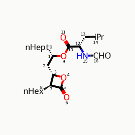 CCCCCCC[C@@H](C[C@@H]1OC(=O)[C@H]1CCCCCC)OC(=O)[C@H](CC(C)C)NC=O